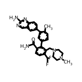 Cc1ccc(-c2c(C(N)=O)ccc(C(F)F)c2CN2CCN(C)CC2)cc1-c1ccc2nc(N)ncc2c1